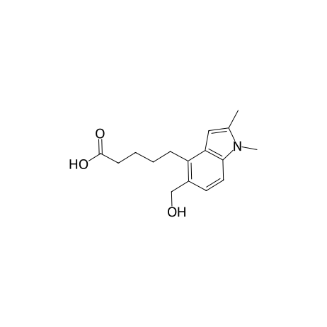 Cc1cc2c(CCCCC(=O)O)c(CO)ccc2n1C